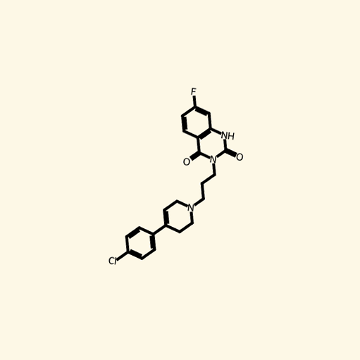 O=c1[nH]c2cc(F)ccc2c(=O)n1CCCN1CC=C(c2ccc(Cl)cc2)CC1